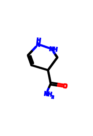 NC(=O)C1C=CNNC1